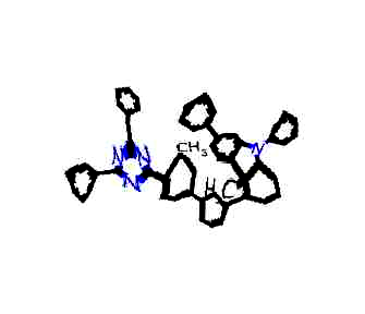 CC1CC(C2=CC=CC(C3C=CC=C4N(c5ccccc5)c5cc(-c6ccccc6)ccc5C43C)C2)=CC=C1c1nc(-c2ccccc2)nc(-c2ccccc2)n1